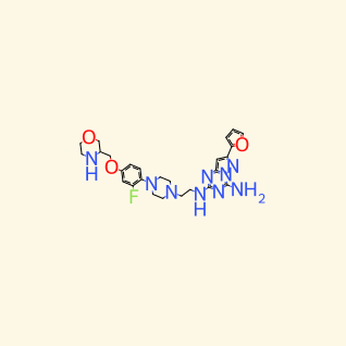 Nc1nc(NCCN2CCN(c3ccc(OCC4COCCN4)cc3F)CC2)nc2cc(-c3ccco3)nn12